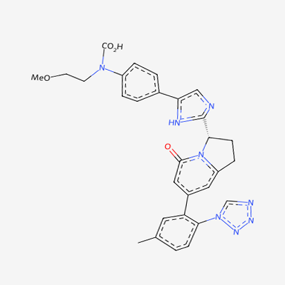 COCCN(C(=O)O)c1ccc(-c2cnc([C@@H]3CCc4cc(-c5cc(C)ccc5-n5cnnn5)cc(=O)n43)[nH]2)cc1